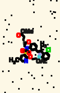 COC(=O)CC[C@H]1CN(S(=O)(=O)c2cc(C)cnc2OCCOC(C)=O)c2cc(/C=C(\C)c3c(F)cccc3Cl)ccc2O1